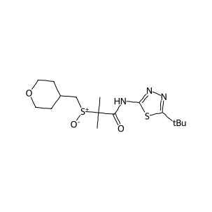 CC(C)(C)c1nnc(NC(=O)C(C)(C)[S+]([O-])CC2CCOCC2)s1